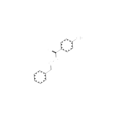 Cc1ccc(C(=O)OO[CH]c2ccccc2)cc1